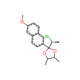 COc1ccc2cc(C3([C@H](C)Br)OC(C)C(C)O3)ccc2c1